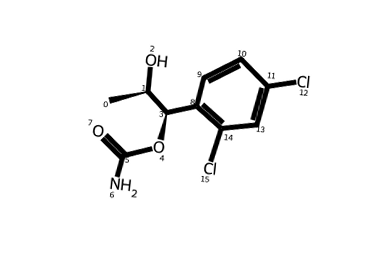 C[C@@H](O)[C@H](OC(N)=O)c1ccc(Cl)cc1Cl